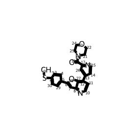 CSc1ccc(-c2cc3nccc(-c4ccnc(C(=O)N5CCOCC5)c4)c3o2)cc1